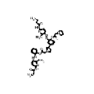 NCCC(=O)Nc1ccc(/N=N/c2cc(C3CCN(CC(=O)Oc4ccccc4/N=N/c4ccc(NC(=O)CN)nc4N)C3)ccc2OC(=O)CN2CCCC2)c(N)n1